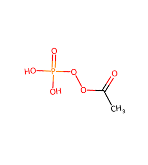 CC(=O)OOP(=O)(O)O